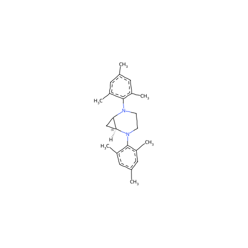 Cc1cc(C)c(N2CCN(c3c(C)cc(C)cc3C)[C@H]3CC32)c(C)c1